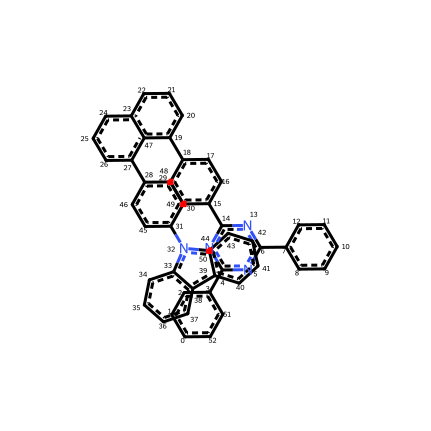 c1ccc(-c2nc(-c3ccccc3)nc(-c3ccc(-c4cccc5cccc(-c6ccc(-n7c8ccccc8c8ccccc87)cc6)c45)cc3)n2)cc1